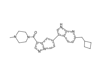 CN1CCN(C(=O)c2cnn3ccc(-c4c[nH]c5nc(CC6CCC6)ccc45)cc23)CC1